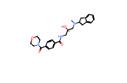 CN(C[C@H](O)CNC(=O)c1ccc(C(=O)N2CCOCC2)cc1)C1Cc2ccccc2C1